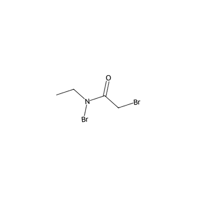 CCN(Br)C(=O)CBr